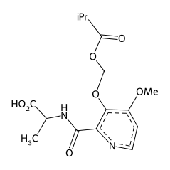 COc1ccnc(C(=O)NC(C)C(=O)O)c1OCOC(=O)C(C)C